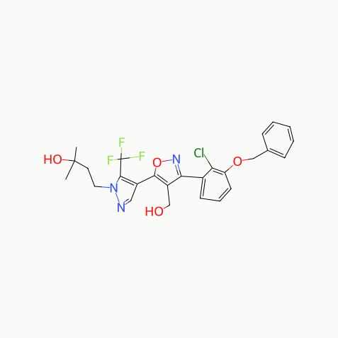 CC(C)(O)CCn1ncc(-c2onc(-c3cccc(OCc4ccccc4)c3Cl)c2CO)c1C(F)(F)F